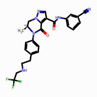 C[C@H]1Cn2ncc(C(=O)Nc3cccc(C#N)c3)c2C(=O)N1c1ccc(CCNCC(F)(F)F)cc1